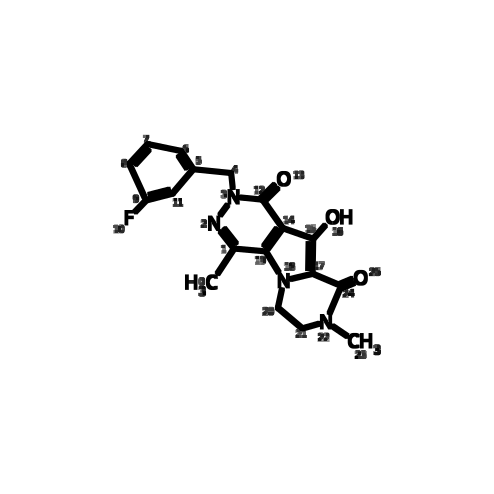 Cc1nn(Cc2cccc(F)c2)c(=O)c2c(O)c3n(c12)CCN(C)C3=O